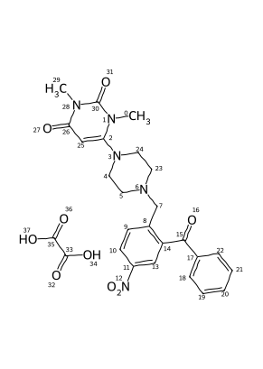 Cn1c(N2CCN(Cc3ccc([N+](=O)[O-])cc3C(=O)c3ccccc3)CC2)cc(=O)n(C)c1=O.O=C(O)C(=O)O